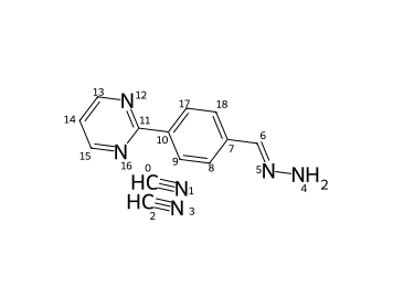 C#N.C#N.NN=Cc1ccc(-c2ncccn2)cc1